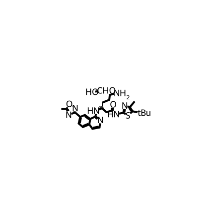 Cc1nc(-c2ccc3ccnc(N[C@@H](CCCN)CC(=O)Nc4nc(C)c(C(C)(C)C)s4)c3c2)no1.O=CO